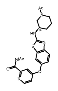 CNC(=O)c1cc(Oc2ccc3nc(N[C@@H]4CCCN(C(C)=O)C4)sc3c2)ccn1